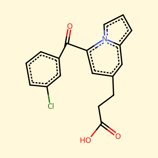 O=C(O)CCc1cc(C(=O)c2cccc(Cl)c2)n2cccc2c1